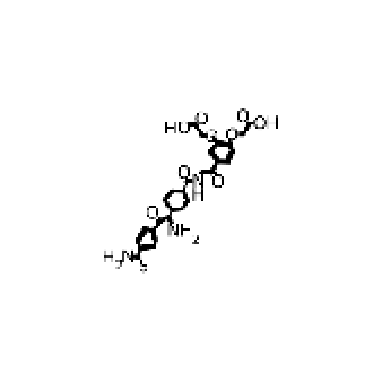 NC(=S)c1ccc(C(=O)C(N)[C@H]2CC[C@H](C(=O)NCC(=O)c3ccc(OCC(=O)O)c(OCC(=O)O)c3)CC2)cc1